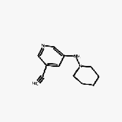 C#Cc1cncc(NN2CCCCC2)c1